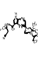 C=CC(=O)N1CCN(c2cnc3[nH]cc(C(=O)N[C@H](C)CC#N)c3n2)CC1(C)C